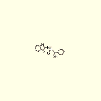 O=C(C=C(S)c1ccccc1)Nc1nc2ccccc2s1